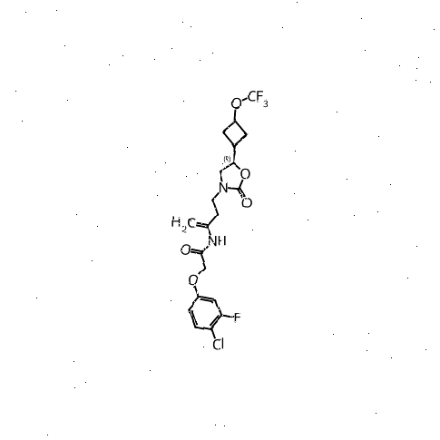 C=C(CCN1C[C@@H](C2CC(OC(F)(F)F)C2)OC1=O)NC(=O)COc1ccc(Cl)c(F)c1